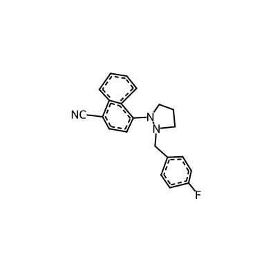 N#Cc1ccc(N2CCCN2Cc2ccc(F)cc2)c2ccccc12